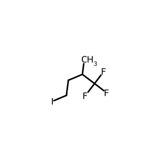 CC(CCI)C(F)(F)F